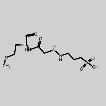 CSCC[C@@H](C=O)NC(=O)CNNCCCS(=O)(=O)O